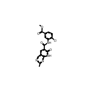 COC(=O)c1ccc(Cl)c(NC(=O)c2cc3cnc(C)nc3[nH]c2=O)c1